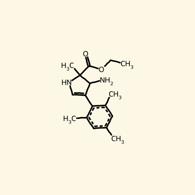 CCOC(=O)C1(C)NC=C(c2c(C)cc(C)cc2C)C1N